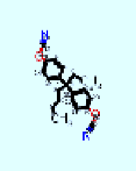 CCCCC(CC)(c1ccc(OC#N)cc1)c1ccc(OC#N)cc1